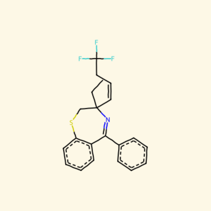 CCC1(/C=C\CC(F)(F)F)CSc2ccccc2C(c2ccccc2)=N1